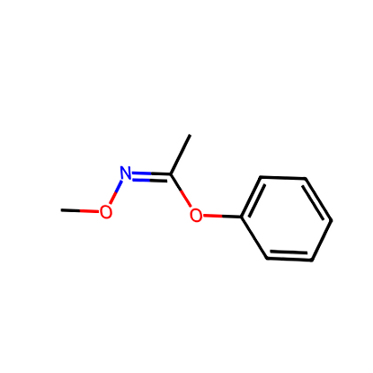 CO/N=C(/C)Oc1ccccc1